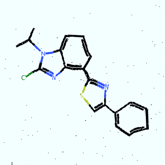 CC(C)n1c(Cl)nc2c(-c3nc(-c4ccccc4)cs3)cccc21